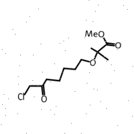 COC(=O)C(C)(C)OCCCCCC(=O)CCl